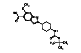 COc1cc2nn(C3CCC(NC(=O)OC(C)(C)C)CC3)cc2cc1C(=O)O